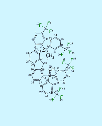 C[Si](c1cccc(C(F)(F)F)c1)(c1cccc(C(F)(F)F)c1)c1cccc2c1Cc1c-2cccc1[Si](C)(c1cccc(C(F)(F)F)c1)c1cccc(C(F)(F)F)c1